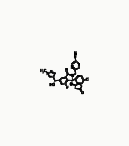 Cn1cc([C@@H](O)c2cc(F)c3c(c2)C(=O)N(Cc2ccc(C#N)cn2)[C@@]3(O[C@H]2CCC(=O)C2)c2ccc(Cl)cc2)cn1